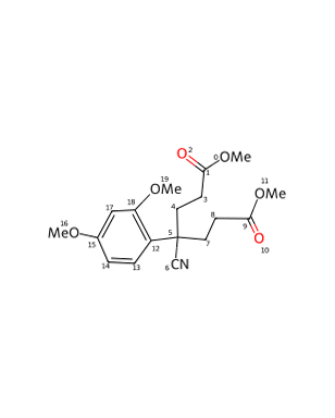 COC(=O)CCC(C#N)(CCC(=O)OC)c1ccc(OC)cc1OC